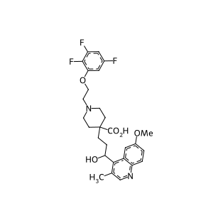 COc1ccc2ncc(C)c(C(O)CCC3(C(=O)O)CCN(CCOc4cc(F)cc(F)c4F)CC3)c2c1